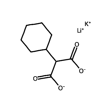 O=C([O-])C(C(=O)[O-])C1CCCCC1.[K+].[Li+]